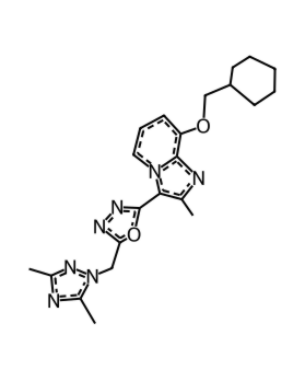 Cc1nc(C)n(Cc2nnc(-c3c(C)nc4c(OCC5CCCCC5)cccn34)o2)n1